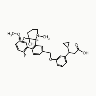 COc1ccc(F)c(-c2ccc(COc3cccc(C(CC(=O)O)C4CC4)c3)cc2[C@@H]2N(C)CCCC2(C)C)c1